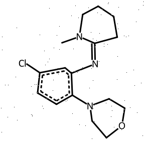 CN1CCCCC1=Nc1cc(Cl)ccc1N1CCOCC1